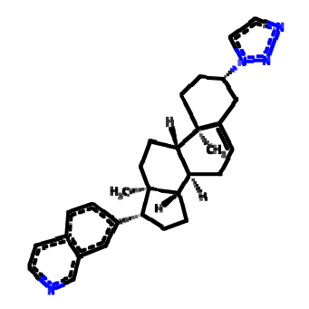 C[C@]12CC[C@H]3[C@@H](CC=C4C[C@@H](n5ccnn5)CC[C@@]43C)[C@@H]1CC[C@@H]2c1ccc2ccncc2c1